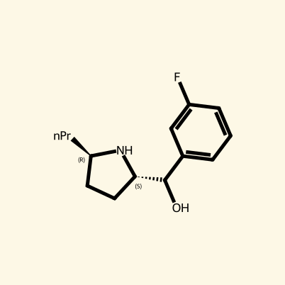 CCC[C@@H]1CC[C@@H](C(O)c2cccc(F)c2)N1